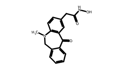 CN1Cc2ccccc2C(=O)c2cc(CC(=O)NO)ccc21